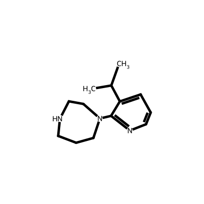 CC(C)c1cccnc1N1CCCNCC1